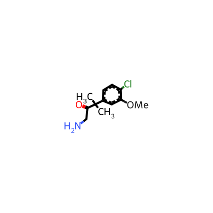 COc1cc(C(C)(C)C(=O)CN)ccc1Cl